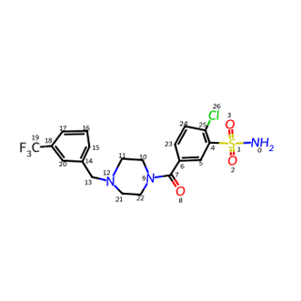 NS(=O)(=O)c1cc(C(=O)N2CCN(Cc3cccc(C(F)(F)F)c3)CC2)ccc1Cl